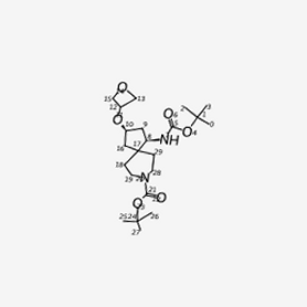 CC(C)(C)OC(=O)N[C@@H]1C[C@H](OC2COC2)CC12CCN(C(=O)OC(C)(C)C)CC2